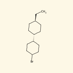 CC[C@H]1CC[C@H](C2CCC(Br)CC2)CC1